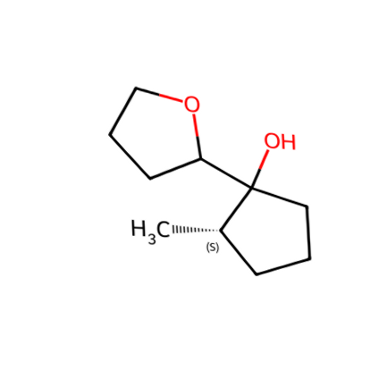 C[C@H]1CCCC1(O)C1CCCO1